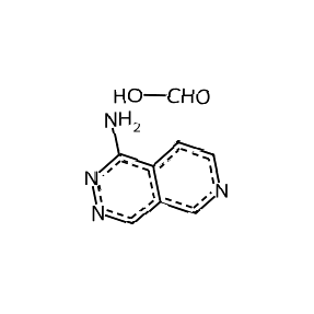 Nc1nncc2cnccc12.O=CO